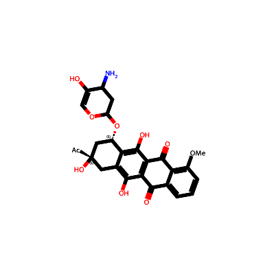 COc1cccc2c1C(=O)c1c(O)c3c(c(O)c1C2=O)C[C@@](O)(C(C)=O)C[C@@H]3OC1CC(N)C(O)=CO1